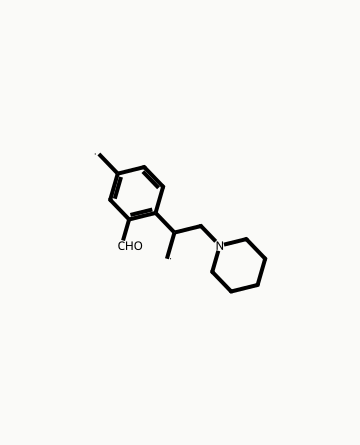 [CH2]c1ccc(C([CH2])CN2CCCCC2)c(C=O)c1